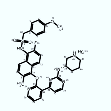 Cc1ccc2c(NS(=O)(=O)Cc3ccc(OC(F)(F)F)cc3)c(F)ccc2c1Oc1ncccc1-c1ccnc(N[C@H]2CCCNC2)n1.Cl